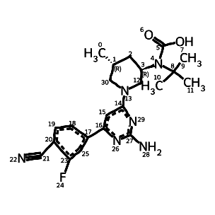 C[C@@H]1C[C@@H](N(C(=O)O)C(C)(C)C)CN(c2cc(-c3ccc(C#N)c(F)c3)nc(N)n2)C1